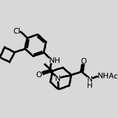 CC(=O)NNC(=O)C12CC(C)CC(C1)N2C(=O)Nc1ccc(Cl)c(C2CCC2)c1